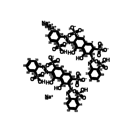 O=S(=O)([O-])c1cc2cc(S(=O)(=O)[O-])c(N=Nc3ccccc3S(=O)(=O)O)c(O)c2c(O)c1N=Nc1ccccc1S(=O)(=O)O.O=S(=O)([O-])c1cc2cc(S(=O)(=O)[O-])c(N=Nc3ccccc3S(=O)(=O)O)c(O)c2c(O)c1N=Nc1ccccc1S(=O)(=O)O.[Na+].[Na+].[Na+].[Na+]